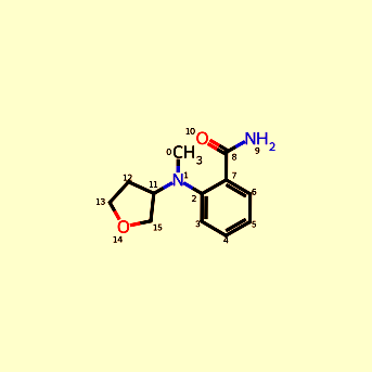 CN(c1ccccc1C(N)=O)C1CCOC1